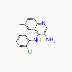 Cc1ccc2ncc(N)c(Nc3ccccc3Cl)c2c1